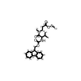 CC(C)C(NC(=O)OCC1c2ccccc2-c2ccccc21)C(=O)N(C)CCC(=O)OSI